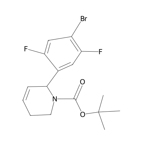 CC(C)(C)OC(=O)N1CCC=CC1c1cc(F)c(Br)cc1F